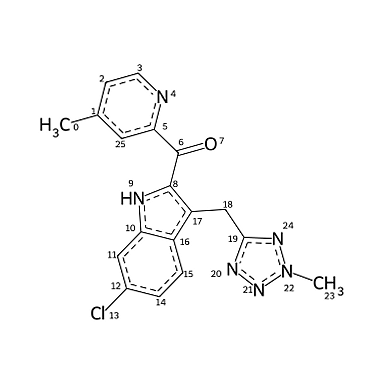 Cc1ccnc(C(=O)c2[nH]c3cc(Cl)ccc3c2Cc2nnn(C)n2)c1